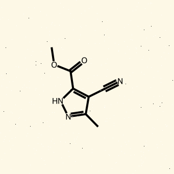 COC(=O)c1[nH]nc(C)c1C#N